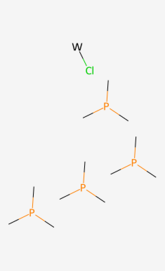 CP(C)C.CP(C)C.CP(C)C.CP(C)C.[Cl][W]